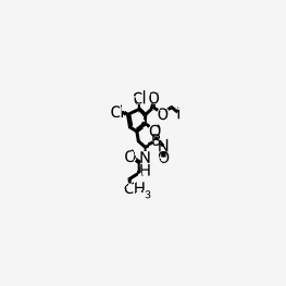 CCCC(=O)N[C@H]1Cc2cc(Cl)c(Cl)c(C(=O)OCI)c2OB1N=O